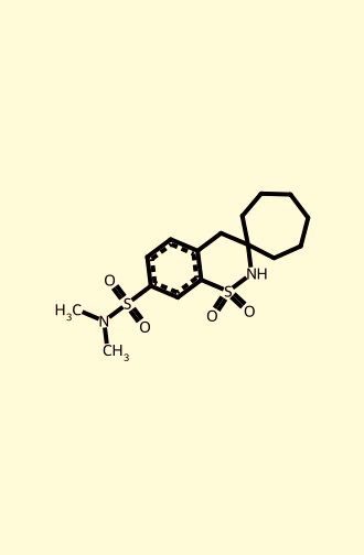 CN(C)S(=O)(=O)c1ccc2c(c1)S(=O)(=O)NC1(CCCCCC1)C2